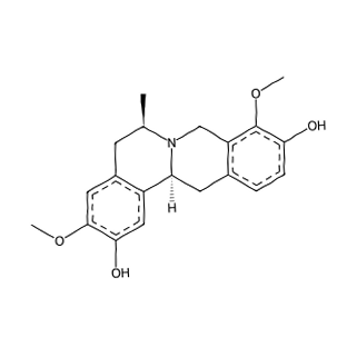 COc1cc2c(cc1O)[C@@H]1Cc3ccc(O)c(OC)c3CN1[C@H](C)C2